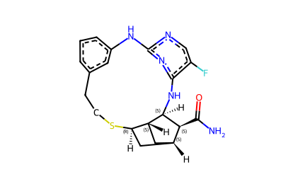 NC(=O)[C@H]1[C@H]2C[C@H]3[C@H]1Nc1nc(ncc1F)Nc1cccc(c1)CCS[C@@H]3C2